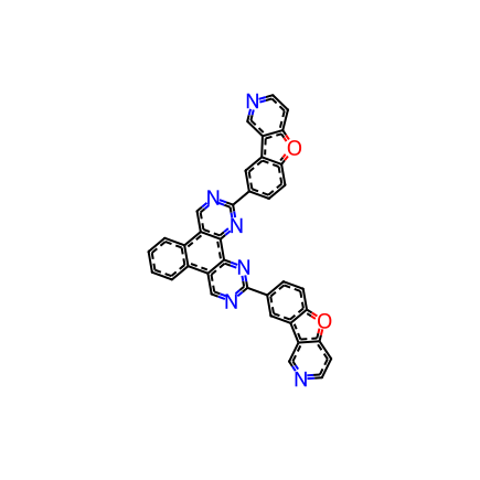 c1ccc2c(c1)c1cnc(-c3ccc4oc5ccncc5c4c3)nc1c1nc(-c3ccc4oc5ccncc5c4c3)ncc21